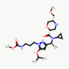 COC[C@H]1CO[C@@H](C(=O)N(C2CC2)[C@@H](C)c2cc(OC(C)C)n(CCCNC(=O)OC)n2)CN1